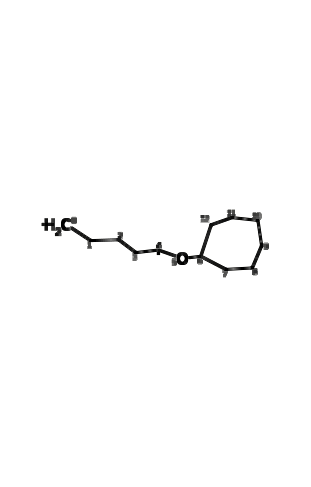 [CH2]CCC[CH]OC1CCCCCC1